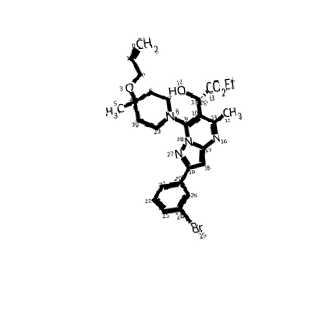 C=CCOC1(C)CCN(c2c([C@H](O)C(=O)OCC)c(C)nc3cc(-c4cccc(Br)c4)nn23)CC1